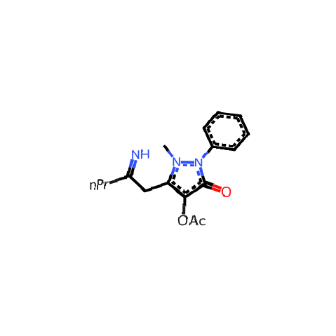 CCCC(=N)Cc1c(OC(C)=O)c(=O)n(-c2ccccc2)n1C